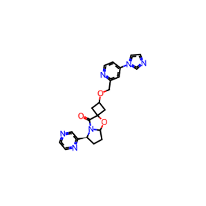 O=C1N2C(CC[C@H]2c2cnccn2)OC12CC(OCc1cc(-n3ccnc3)ccn1)C2